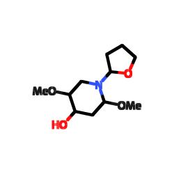 COC1CN(C2CCCO2)C(OC)CC1O